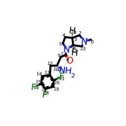 CN1C[C@@H]2CCN(C(=O)C[C@H](N)Cc3cc(F)c(F)cc3F)[C@@H]2C1